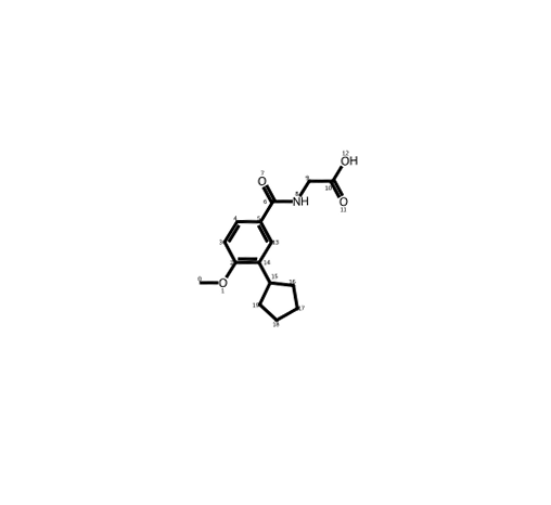 COc1ccc(C(=O)NCC(=O)O)cc1C1CCCC1